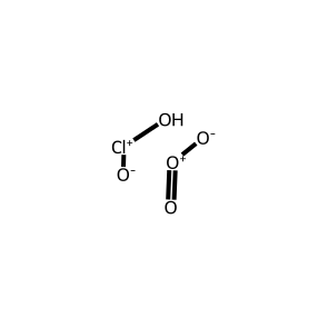 O=[O+][O-].[O-][Cl+]O